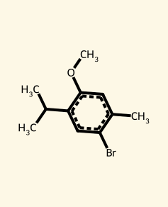 COc1cc(C)c(Br)cc1C(C)C